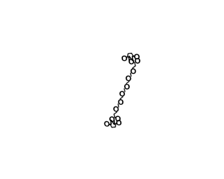 O=C(CCOCCOCCOCCOCCOCCOCCC(=O)ON1C(=O)CCC1=O)ON1C(=O)CCC1=O